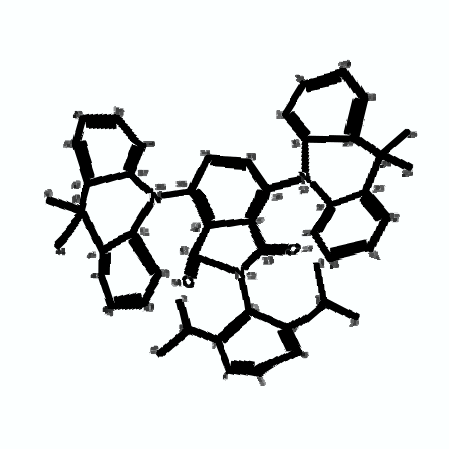 CC(C)c1cccc(C(C)C)c1N1C(=O)c2c(N3c4ccccc4C(C)(C)c4ccccc43)ccc(N3c4ccccc4C(C)(C)c4ccccc43)c2C1=O